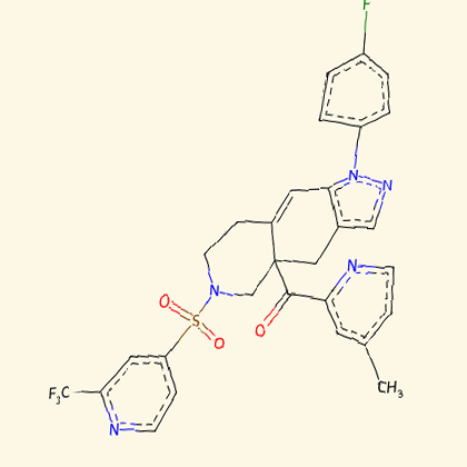 Cc1ccnc(C(=O)C23Cc4cnn(-c5ccc(F)cc5)c4C=C2CCN(S(=O)(=O)c2ccnc(C(F)(F)F)c2)C3)c1